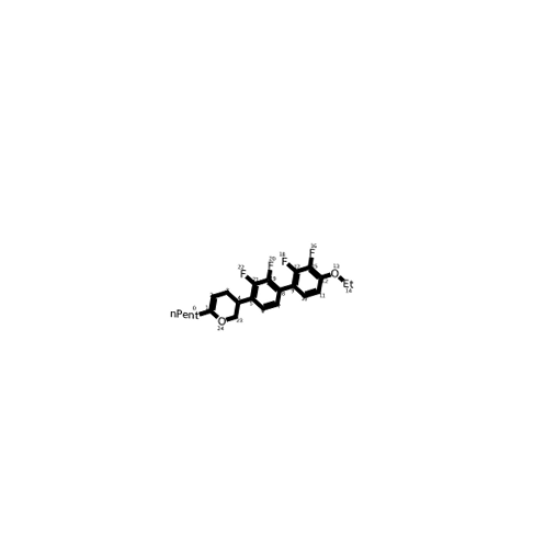 CCCCCC1=CCC(c2ccc(-c3ccc(OCC)c(F)c3F)c(F)c2F)CO1